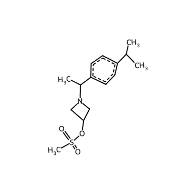 CC(C)c1ccc(C(C)N2CC(OS(C)(=O)=O)C2)cc1